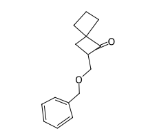 O=C1C(COCc2ccccc2)CC12CCC2